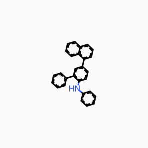 c1ccc(Nc2ccc(-c3cccc4ccccc34)cc2-c2ccccc2)cc1